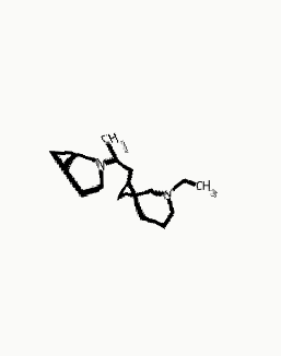 CCN1CCCC2(CC2CC(C)N2CCC3CC32)C1